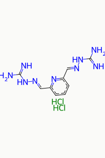 Cl.Cl.N=C(N)NN=Cc1cccc(C=NNC(=N)N)n1